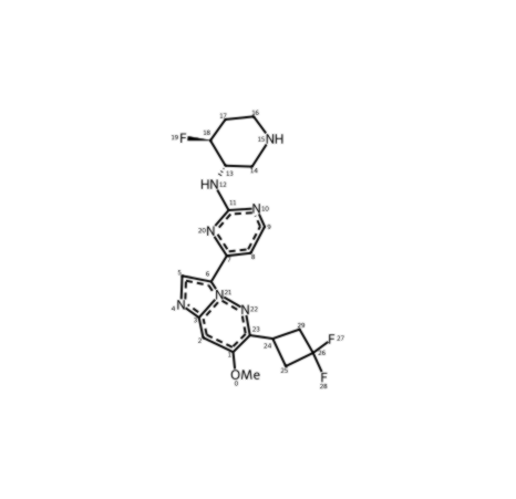 COc1cc2ncc(-c3ccnc(N[C@H]4CNCC[C@@H]4F)n3)n2nc1C1CC(F)(F)C1